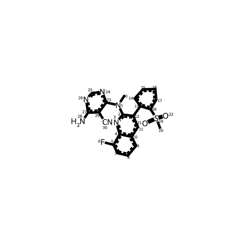 CN(c1nc2c(F)cccc2cc1-c1ccccc1S(C)(=O)=O)c1ncnc(N)c1C#N